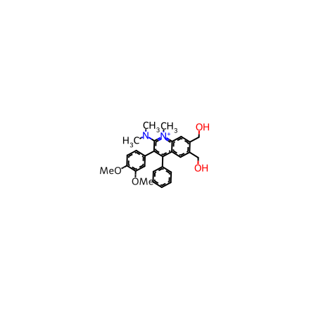 COc1ccc(-c2c(-c3ccccc3)c3cc(CO)c(CO)cc3[n+](C)c2N(C)C)cc1OC